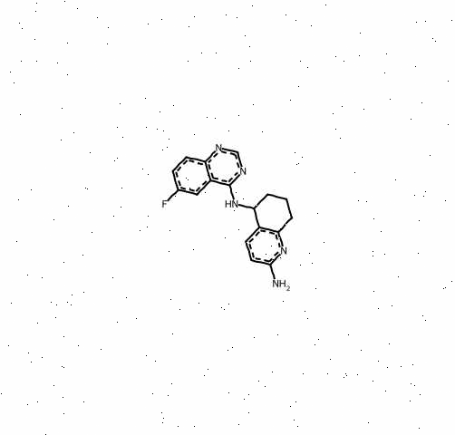 Nc1ccc2c(n1)CCCC2Nc1ncnc2ccc(F)cc12